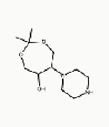 CC1(C)OCC(O)C(N2CCNCC2)CO1